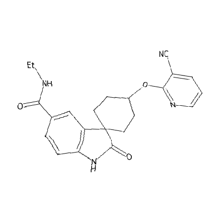 CCNC(=O)c1ccc2c(c1)C1(CCC(Oc3ncccc3C#N)CC1)C(=O)N2